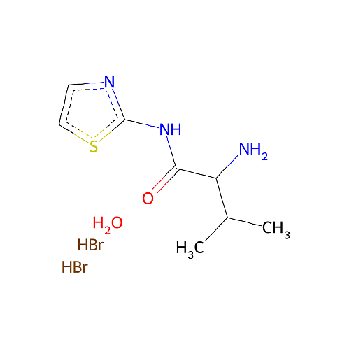 Br.Br.CC(C)C(N)C(=O)Nc1nccs1.O